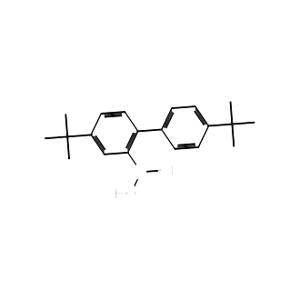 CC(C)(C)c1ccc(-c2ccc(C(C)(C)C)cc2B(O)O)cc1